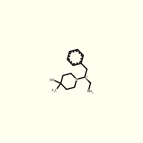 NC[C@H](Cc1ccccc1)N1CCC(O)(C(F)(F)F)CC1